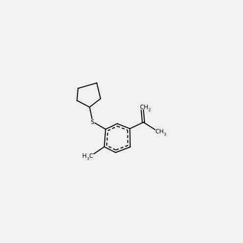 C=C(C)c1ccc(C)c(SC2CCCC2)c1